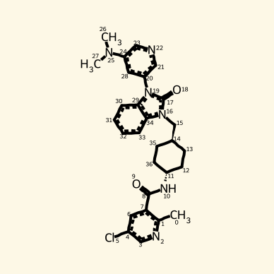 Cc1ncc(Cl)cc1C(=O)N[C@H]1CC[C@H](Cn2c(=O)n(-c3cncc(N(C)C)c3)c3ccccc32)CC1